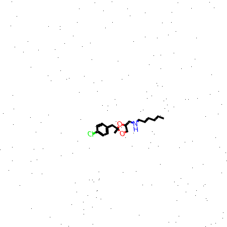 CCCCCCNCC1COC(C)(Cc2ccc(Cl)cc2)O1